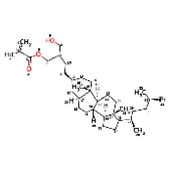 C=C(C)C(=O)OCC(CO)CC[C@H]1CC[C@@]2(C)[C@@H](CC[C@@H]3[C@@H]2CC[C@]2(C)C([C@H](C)CC[C@@H](C)C(C)C)CC[C@@H]32)C1